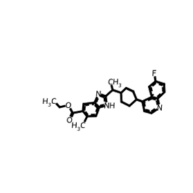 CCOC(=O)c1cc2nc(C(C)C3CCC(c4ccnc5ccc(F)cc45)CC3)[nH]c2cc1C